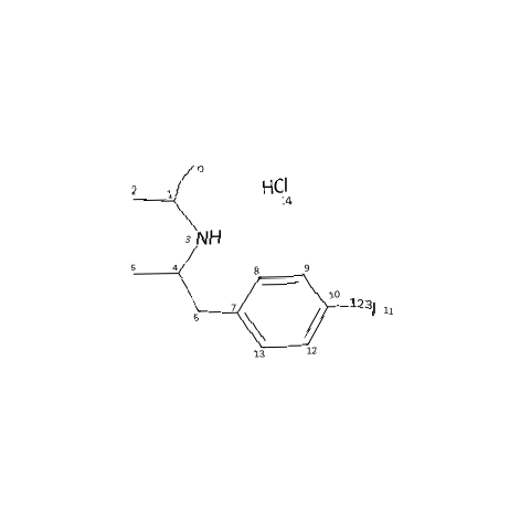 CC(C)NC(C)Cc1ccc([123I])cc1.Cl